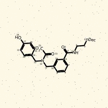 CCCCCCCCCCCCNC(=O)c1cccc(CN(Cc2ccc(O)cc2)C(=O)C(=O)O)c1